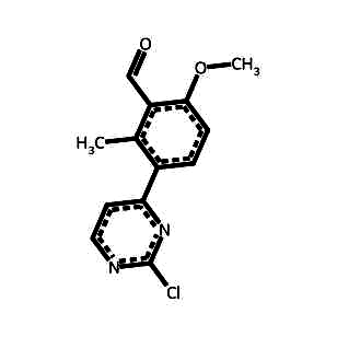 COc1ccc(-c2ccnc(Cl)n2)c(C)c1C=O